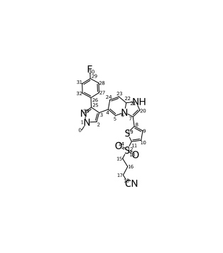 Cn1cc(C2=CN3C(c4ccc(S(=O)(=O)CCCC#N)s4)=CNC3C=C2)c(-c2ccc(F)cc2)n1